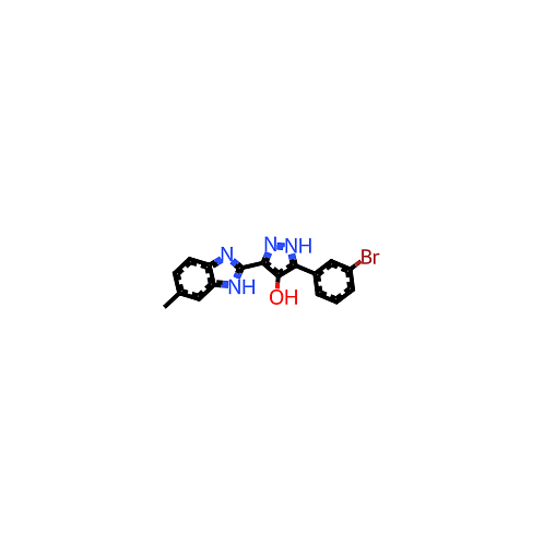 Cc1ccc2nc(-c3n[nH]c(-c4cccc(Br)c4)c3O)[nH]c2c1